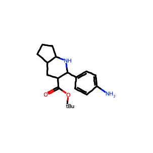 CC(C)(C)OC(=O)C1CC2CCCC2NC1c1ccc(N)cc1